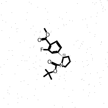 COC(=O)c1ccc([C@@H]2CCCN2C(=O)OC(C)(C)C)cc1F